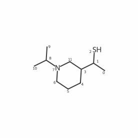 CC(S)C1CCCN(C(C)C)C1